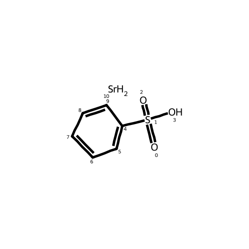 O=S(=O)(O)c1ccccc1.[SrH2]